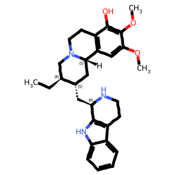 CC[C@H]1CN2CCc3c(cc(OC)c(OC)c3O)[C@@H]2C[C@@H]1C[C@H]1NCCc2c1[nH]c1ccccc21